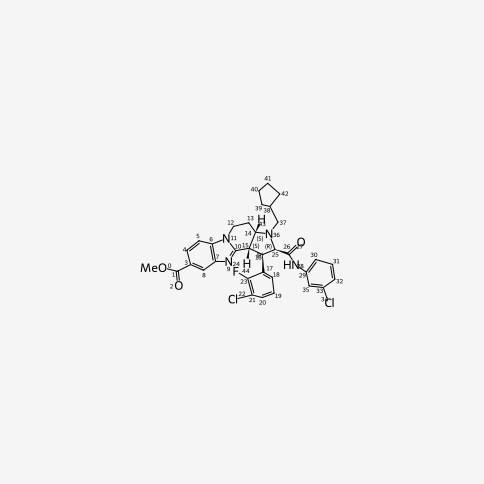 COC(=O)c1ccc2c(c1)nc1n2CC[C@H]2[C@@H]1[C@H](c1cccc(Cl)c1F)[C@H](C(=O)Nc1cccc(Cl)c1)N2CC1CCCC1